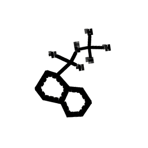 [2H]C([2H])([2H])NC([2H])([2H])c1cccc2ccccc12